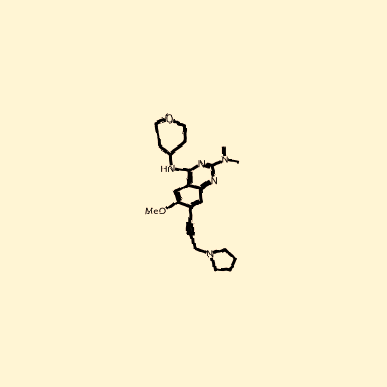 COc1cc2c(NC3CCOCC3)nc(N(C)C)nc2cc1C#CCN1CCCC1